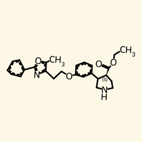 CCOC(=O)[C@H]1CCNCC1c1cccc(OCCc2nc(-c3ccccc3)oc2C)c1